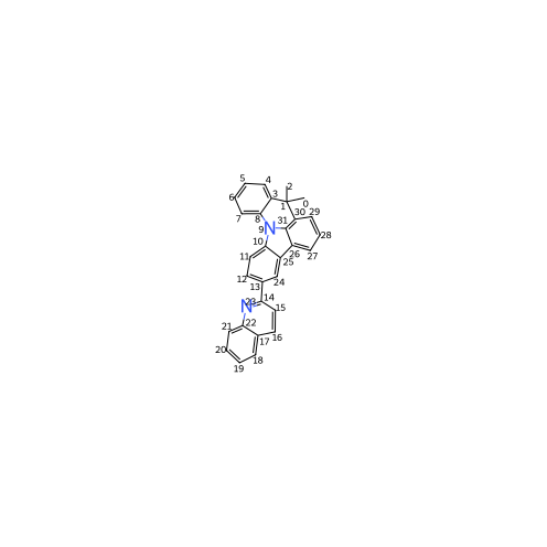 CC1(C)c2ccccc2-n2c3ccc(-c4ccc5ccccc5n4)cc3c3cccc1c32